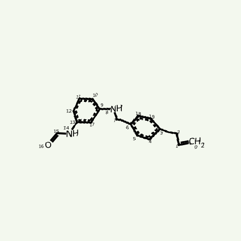 C=CCc1ccc(CNc2cccc(NC=O)c2)cc1